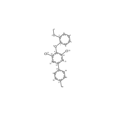 COc1ccccc1Oc1c(Cl)nc(-c2ccc(C)cc2)nc1Cl